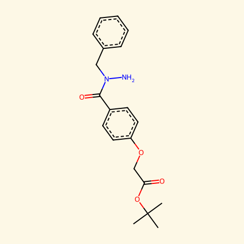 CC(C)(C)OC(=O)COc1ccc(C(=O)N(N)Cc2ccccc2)cc1